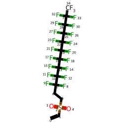 C=CS(=O)(=O)CCC(F)(F)C(F)(F)C(F)(F)C(F)(F)C(F)(F)C(F)(F)C(F)(F)C(F)(F)C(F)(F)C(F)(F)F